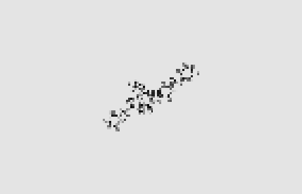 CC(C)(C)OC(=O)N[C@@H](Cc1ccc(OCc2ccccc2)cc1)C(=O)NCC(=O)OCc1ccccc1